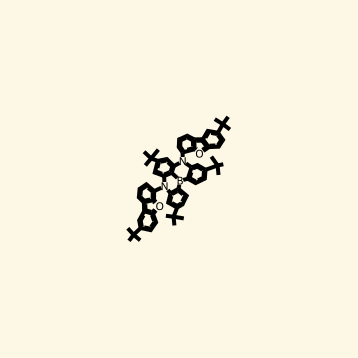 CC(C)(C)c1ccc2c(c1)N(c1cccc3c1oc1ccc(C(C)(C)C)cc13)c1cc(C(C)(C)C)cc3c1B2c1ccc(C(C)(C)C)cc1N3c1cccc2c1oc1ccc(C(C)(C)C)cc12